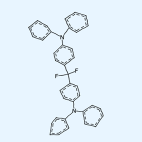 FC(F)(c1ccc(N(c2ccccc2)c2ccccc2)cc1)c1ccc(N(c2ccccc2)c2ccccc2)cc1